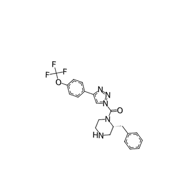 O=C(N1CCNC[C@H]1Cc1ccccc1)n1cc(-c2ccc(OC(F)(F)F)cc2)nn1